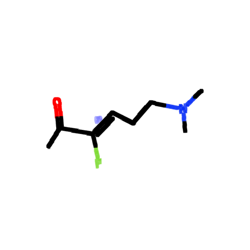 CC(=O)/C(F)=C/CCN(C)C